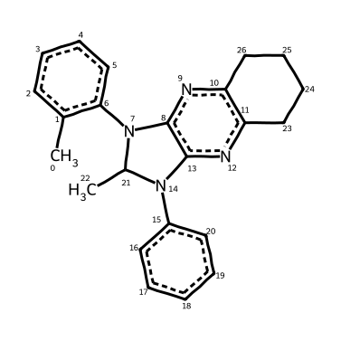 Cc1ccccc1N1c2nc3c(nc2N(c2ccccc2)C1C)CCCC3